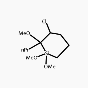 CCCC1(OC)C(Cl)CCC[Si]1(OC)OC